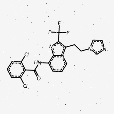 O=C(Nc1cccn2c(CCn3ccnc3)c(C(F)(F)F)nc12)c1c(Cl)cccc1Cl